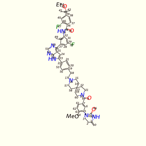 C=C1CCN(c2cc(C(=O)N3CCC4(CCN(CCc5ccc(-c6cc7c(-c8cc(F)cc(NC(=O)c9ccc(C(C)(C)OCC)cc9F)c8C)ncnc7[nH]6)cc5)CC4)CC3)ccc2OC)C(=O)N1